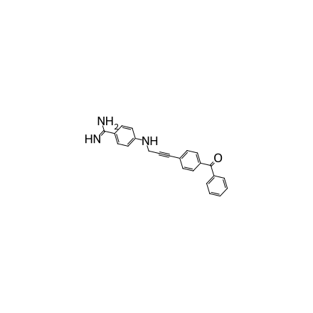 N=C(N)c1ccc(NCC#Cc2ccc(C(=O)c3ccccc3)cc2)cc1